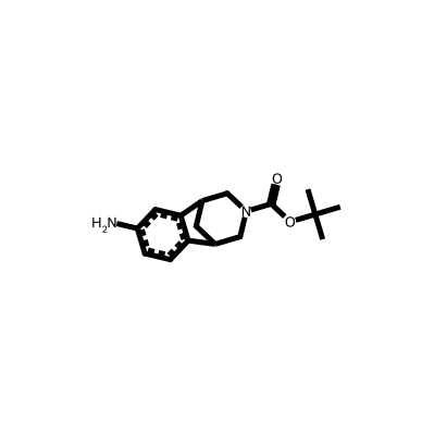 CC(C)(C)OC(=O)N1CC2CC(C1)c1cc(N)ccc12